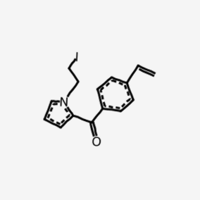 C=Cc1ccc(C(=O)c2cccn2CCI)cc1